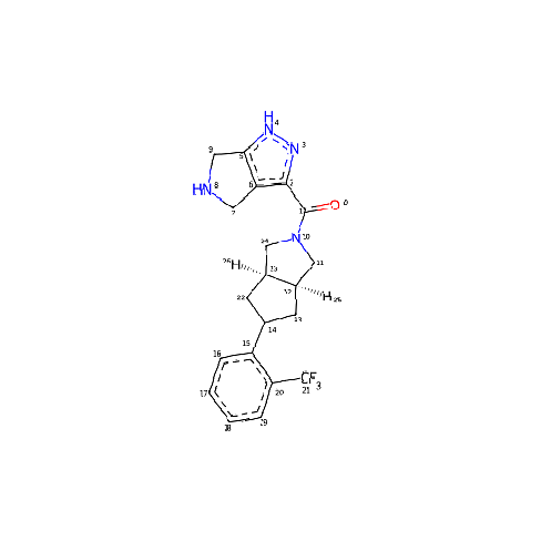 O=C(c1n[nH]c2c1CNC2)N1C[C@H]2CC(c3ccccc3C(F)(F)F)C[C@H]2C1